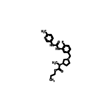 CCCOC(=O)N(C)[C@@H]1CCN(Cc2ccc(F)c(NC(=O)Nc3ccc(C)nc3)c2)C1